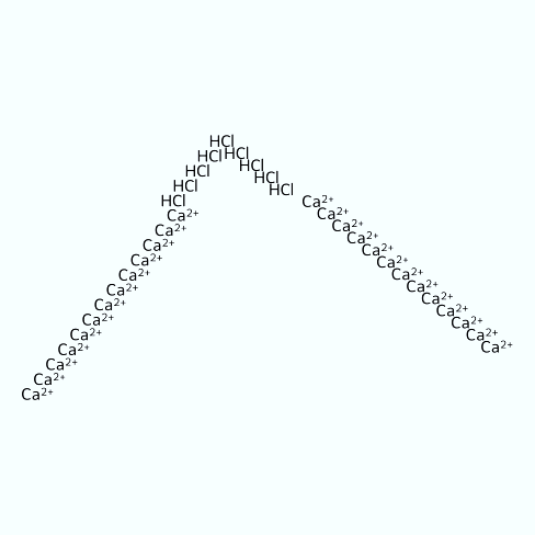 Cl.Cl.Cl.Cl.Cl.Cl.Cl.Cl.Cl.[Ca+2].[Ca+2].[Ca+2].[Ca+2].[Ca+2].[Ca+2].[Ca+2].[Ca+2].[Ca+2].[Ca+2].[Ca+2].[Ca+2].[Ca+2].[Ca+2].[Ca+2].[Ca+2].[Ca+2].[Ca+2].[Ca+2].[Ca+2].[Ca+2].[Ca+2].[Ca+2].[Ca+2].[Ca+2].[Ca+2]